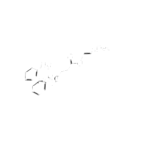 CCCCCCCCCCC=COC(=O)CCC(=O)O.[Hg][c]1ccccc1.[Hg][c]1ccccc1